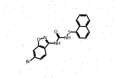 O=C(NSc1cccc2ccccc12)Nc1noc2cc(Br)ccc12